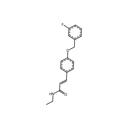 CCNC(=O)C=Cc1ccc(OCc2cccc(F)c2)cc1